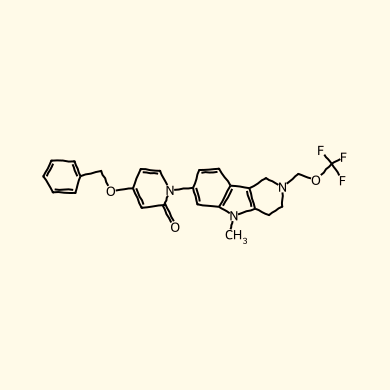 Cn1c2c(c3ccc(-n4ccc(OCc5ccccc5)cc4=O)cc31)CN(COC(F)(F)F)CC2